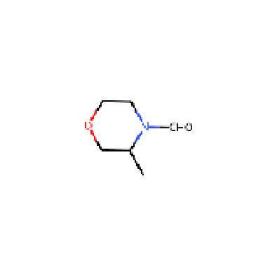 CC1COCCN1C=O